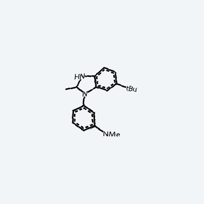 CNc1cccc(N2c3cc(C(C)(C)C)ccc3NC2C)c1